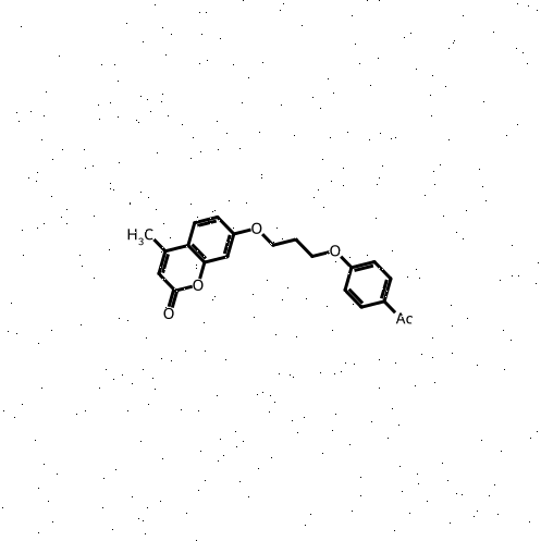 CC(=O)c1ccc(OCCCOc2ccc3c(C)cc(=O)oc3c2)cc1